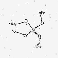 CCCO[Si]([O][Ti])(OCCC)OCCC